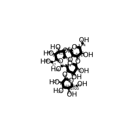 C[C@@H]1O[C@H](CO)[C@@H](O)[C@H](O[C@@H]2O[C@H](CO)[C@@H](O[C@@H]3O[C@H](CO)[C@@H](O)[C@H](O)[C@H]3O)[C@H](O)[C@H]2O)[C@H]1O[C@@H]1O[C@H](CO)[C@@H](O)[C@H](O)[C@H]1O